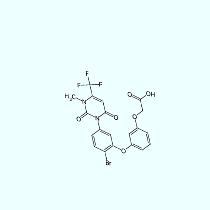 Cn1c(C(F)(F)F)cc(=O)n(-c2ccc(Br)c(Oc3cccc(OCC(=O)O)c3)c2)c1=O